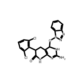 NC1=NC2=C(CC(c3c(Cl)cccc3Cl)C(=O)N2)C(On2nnc3ccccc32)N1